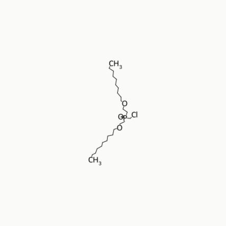 CCCCCCCCCCOCCP(=O)(CCl)CCOCCCCCCCCCC